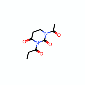 CCC(=O)N1C(=O)CCN(C(C)=O)C1=O